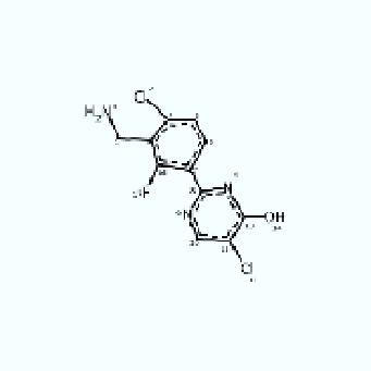 NCc1c(Cl)ccc(-c2ncc(Cl)c(O)n2)c1F